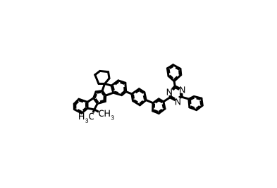 CC1(C)c2ccccc2-c2cc3c(cc21)-c1cc(-c2ccc(-c4cccc(-c5nc(-c6ccccc6)nc(-c6ccccc6)n5)c4)cc2)ccc1C31CCCCC1